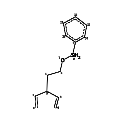 C=CC(C=C)CCO[SiH2]c1ccccc1